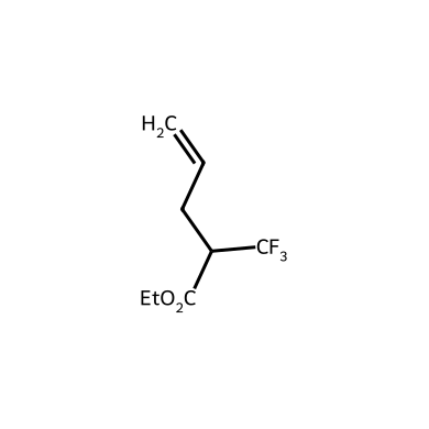 C=CCC(C(=O)OCC)C(F)(F)F